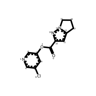 O=C(Oc1cncc(Cl)c1)c1cc2n(n1)CCC2